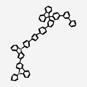 c1ccc(-c2cccc(-c3ccc(C4(c5cccc(-c6ccc(-c7ccc(-c8ccc(-n9c%10ccccc%10c%10cc(-c%11ccc%12c(c%11)c%11ccccc%11n%12-c%11ccccc%11)ccc%109)cc8)cc7)cc6)c5)c5ccccc5-c5ccccc54)cc3)c2)cc1